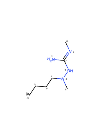 C/N=C(\N)NN(C)CCCC(C)C